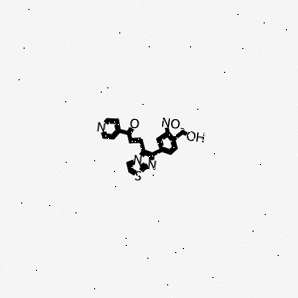 O=C(/C=C/c1c(-c2ccc(CO)c([N+](=O)[O-])c2)nc2sccn12)c1ccncc1